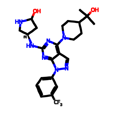 CC(C)(O)C1CCN(c2nc(N[C@H]3CNC(O)C3)nc3c2cnn3-c2cccc(C(F)(F)F)c2)CC1